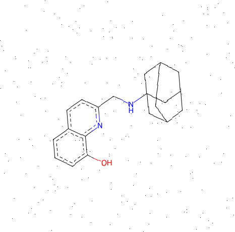 Oc1cccc2ccc(CNC34CC5CC(CC(C5)C3)C4)nc12